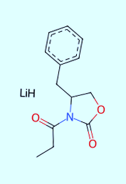 CCC(=O)N1C(=O)OCC1Cc1ccccc1.[LiH]